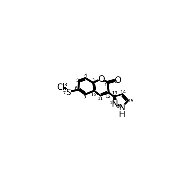 O=c1oc2ccc(SCl)cc2cc1-c1cc[nH]n1